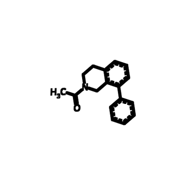 CC(=O)N1CCc2cccc(-c3ccccc3)c2C1